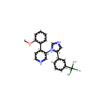 COc1ccccc1-c1ccncc1-n1cncc1-c1c[c]cc(C(F)(F)F)c1